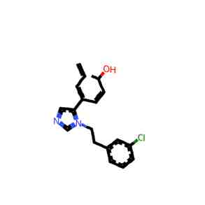 C=C/C=C(\C=C/C(C)O)c1cncn1CCc1cccc(Cl)c1